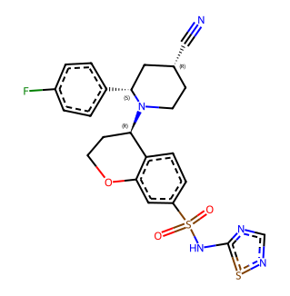 N#C[C@@H]1CCN([C@@H]2CCOc3cc(S(=O)(=O)Nc4ncns4)ccc32)[C@H](c2ccc(F)cc2)C1